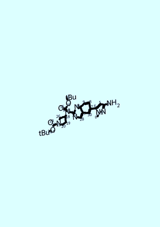 Cn1nc(N)cc1-c1ccc2nc(N(C(=O)OC(C)(C)C)C3CCN(C(=O)OC(C)(C)C)C3)ncc2c1